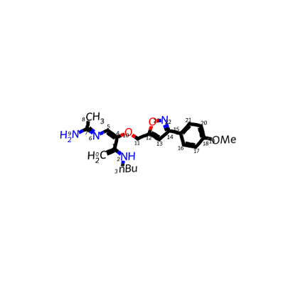 C=C(NCCCC)/C(=C\N=C(/C)N)OCc1cc(-c2ccc(OC)cc2)no1